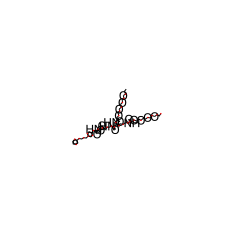 CCCOCCOCCOCCOCC(=O)NCCCC[C@H](NC(=O)COCCOCCOCCOCCC)C(=O)NCCCC(=O)ONC(=O)Cc1ccc(CCCCc2ccccc2)cc1